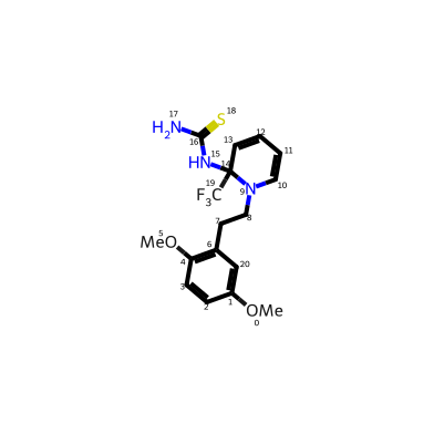 COc1ccc(OC)c(CCN2C=CC=CC2(NC(N)=S)C(F)(F)F)c1